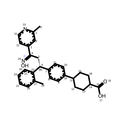 Cc1cc(/C(C[C@H](c2ccc(C3CCC(C(=O)O)CC3)cc2)c2ccccc2C)=N/O)ccn1